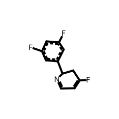 FC1=CC=NC(c2cc(F)cc(F)c2)C1